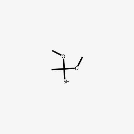 COC(C)(S)OC